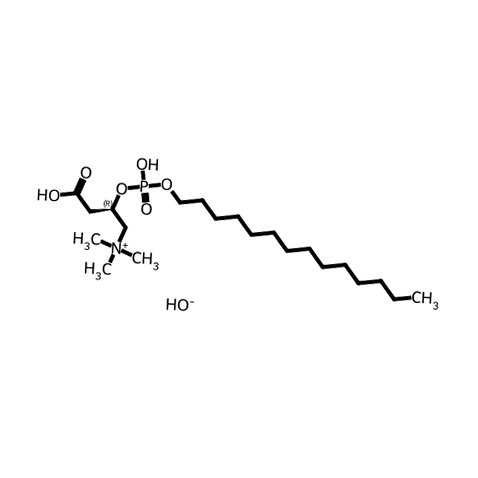 CCCCCCCCCCCCCCOP(=O)(O)O[C@H](CC(=O)O)C[N+](C)(C)C.[OH-]